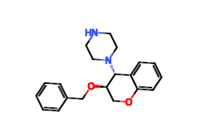 c1ccc(CO[C@@H]2COc3ccccc3[C@H]2N2CCNCC2)cc1